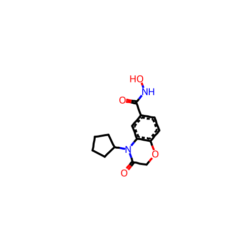 O=C(NO)c1ccc2c(c1)N(C1CCCC1)C(=O)CO2